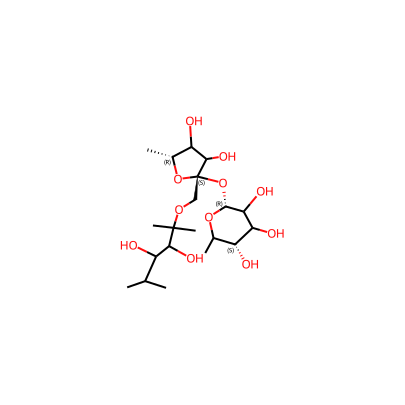 CC(C)C(O)C(O)C(C)(C)OC[C@@]1(O[C@H]2OC(C)[C@@H](O)C(O)C2O)O[C@H](C)C(O)C1O